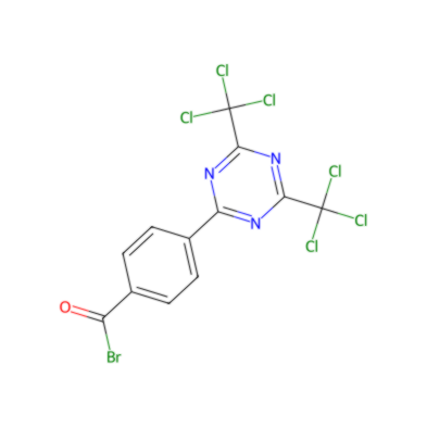 O=C(Br)c1ccc(-c2nc(C(Cl)(Cl)Cl)nc(C(Cl)(Cl)Cl)n2)cc1